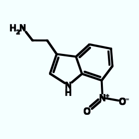 NCCc1c[nH]c2c([N+](=O)[O-])cccc12